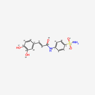 NS(=O)(=O)c1ccc(NC(=O)/C=C/c2ccc(O)c(O)c2)cc1